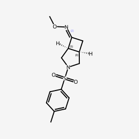 CO/N=C1/C[C@H]2CN(S(=O)(=O)c3ccc(C)cc3)C[C@@H]12